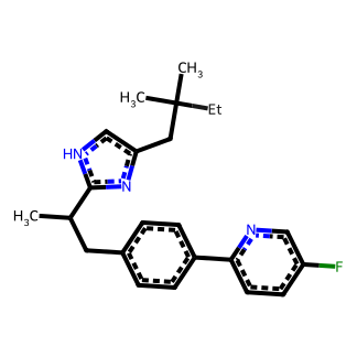 CCC(C)(C)Cc1c[nH]c(C(C)Cc2ccc(-c3ccc(F)cn3)cc2)n1